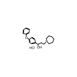 Cl.OC(CCN1CCCCCC1)c1ccc(Oc2ccccc2)cc1